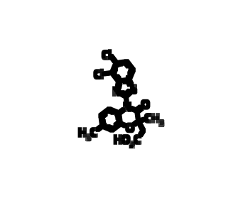 Cc1ccc2c(c1)OC(C)(CC(=O)O)C(=O)N2c1nc2c(Cl)c(Cl)ccc2s1